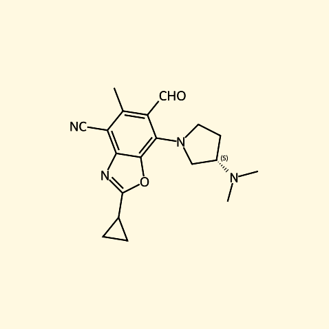 Cc1c(C=O)c(N2CC[C@H](N(C)C)C2)c2oc(C3CC3)nc2c1C#N